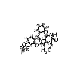 CCn1c(=O)[nH]c(=O)c2c1nc(Oc1cccc(OC(F)(F)F)c1)n2Cc1ccccc1